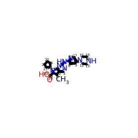 CC1c2cnc(Nc3ccc(N4CCNCC4)cn3)nc2N(C2CCCC2)C1C(=O)O